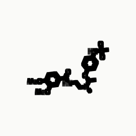 COc1ccc(C(=O)NCCN(C)C(C)Oc2ccc(NS(C)(=O)=O)cc2)cc1OC